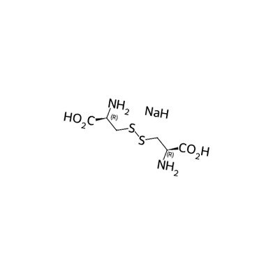 N[C@@H](CSSC[C@H](N)C(=O)O)C(=O)O.[NaH]